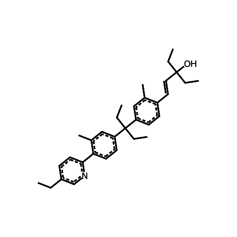 CCc1ccc(-c2ccc(C(CC)(CC)c3ccc(/C=C/C(O)(CC)CC)c(C)c3)cc2C)nc1